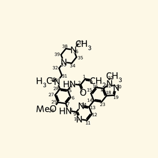 C=CC(=O)Nc1cc(Nc2nccc(-c3ccc4c(cnn4C)c3)n2)c(OC)cc1N(C)CCN1CCN(C)CC1